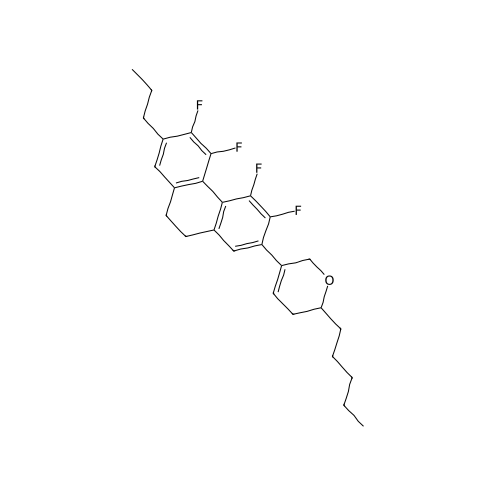 CCCCCC1CC=C(c2cc3c(c(F)c2F)-c2c(cc(CCC)c(F)c2F)CC3)CO1